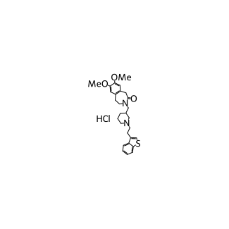 COc1cc2c(cc1OC)CC(=O)N(CC1CCCN(CCc3csc4ccccc34)C1)CC2.Cl